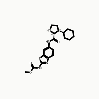 COC(=O)Nc1nc2ccc(NC(=O)[C@H]3NCC[C@H]3C3CCCCC3)cc2s1